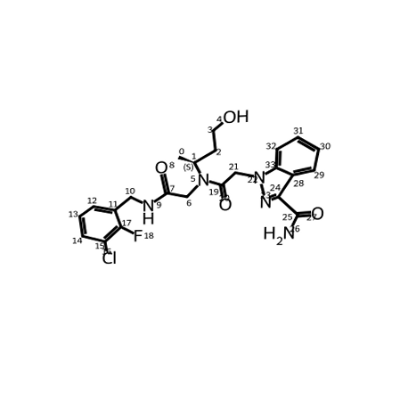 C[C@@H](CCO)N(CC(=O)NCc1cccc(Cl)c1F)C(=O)Cn1nc(C(N)=O)c2ccccc21